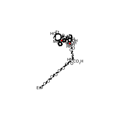 CCOCCOCCOCCOCCOCCOCCOCCOCCC(=O)N[C@@H](CSSCCOC(=O)NNC(=O)[C@@]1(O)[C@H](O)[C@]2(CC)C=CCN3CC[C@@]4(c5cc([C@@]6(C(=O)OC)CCC[C@@](O)(CC)CN(C)CCc7c6[nH]c6ccccc76)c(OC)cc5N(C)[C@@H]14)[C@@H]32)C(=O)O